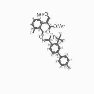 CO/C=C(/C(=O)OC)c1cccc(C)c1CO/N=C(\C)c1ccc(-c2ccc(F)cc2)cc1C(C)(F)F